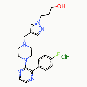 Cl.OCCCn1cc(CN2CCN(c3nccnc3-c3ccc(F)cc3)CC2)cn1